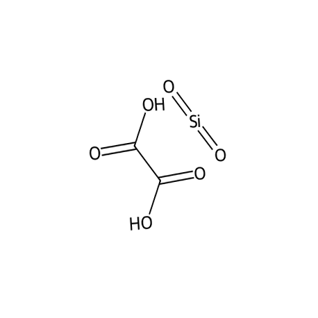 O=C(O)C(=O)O.O=[Si]=O